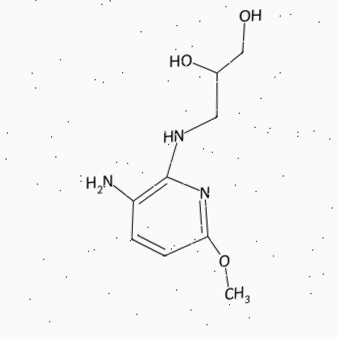 COc1ccc(N)c(NCC(O)CO)n1